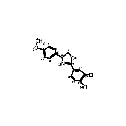 COc1ccc(C2COC(c3ccc(Cl)c(Cl)c3)=N2)cc1